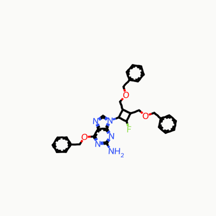 Nc1nc(OCc2ccccc2)c2ncn(C3C(F)C(COCc4ccccc4)C3COCc3ccccc3)c2n1